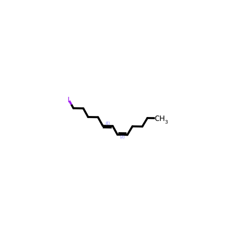 CCCC/C=C\C=C\CCCCI